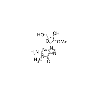 COC1C(O)C(CO)OC1n1cnc2c(=O)n(C)c(N)nc21